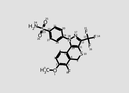 COc1ccc2c(c1F)CSc1c(C(F)(F)F)nn(-c3ccc(S(N)(=O)=O)cc3)c1-2